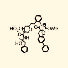 COC(=O)N[C@@H](Cc1ccc(-c2ccccc2)cc1)C(=O)Nc1ccccc1CC[C@@H]1CN(C(=O)O)[C@H](C(=O)N[C@@](C)(O)Cc2ccccc2)CO1